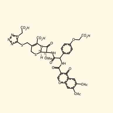 CO[C@@]1(NC(=O)C(NC(=O)c2coc3cc(OC(C)=O)c(OC(C)=O)cc3c2=O)c2ccc(OCC(=O)O)cc2)C(=O)N2C(C(=O)O)=C(CSc3nnnn3CC(=O)O)CS[C@@H]21